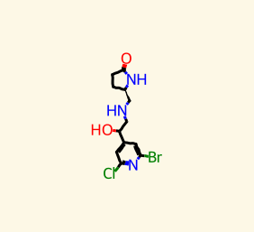 O=C1CC[C@H](CNCC(O)c2cc(Cl)nc(Br)c2)N1